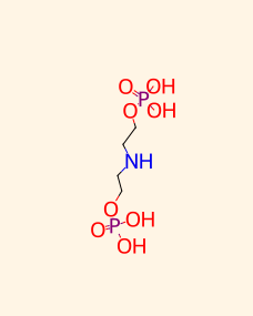 O=P(O)(O)OCCNCCOP(=O)(O)O